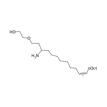 CCCCCCCC/C=C\CCCCCCCC(N)CCOCCO